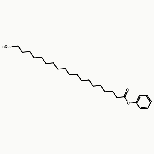 CCCCCCCCCCCCCCCCCCCCCCCCCCCCC(=O)Oc1ccccc1